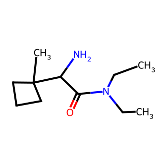 CCN(CC)C(=O)C(N)C1(C)CCC1